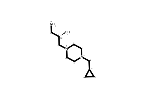 NC[C@H](O)CN1CCN(CC2CC2)CC1